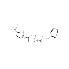 O=C(OCc1ccccc1)N1CCC(n2ccc(C(F)F)n2)CC1